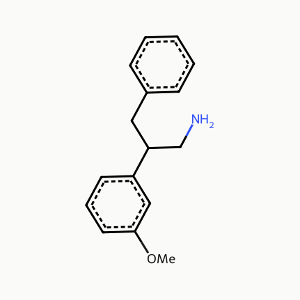 COc1cccc(C(CN)Cc2ccccc2)c1